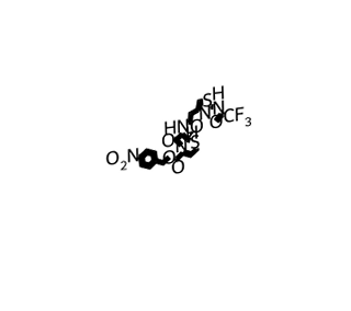 O=C(Cc1csc(NC(=O)C(F)(F)F)n1)NC1C(=O)N2C(C(=O)OCc3ccc([N+](=O)[O-])cc3)=CCS[C@@H]12